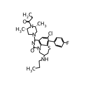 C=CC(=O)N1[C@H](C)CN(c2nc(=O)n3c4c(c(-c5ccc(F)cc5)c(Cl)cc24)SCC(NCCC)C3)C[C@@H]1C